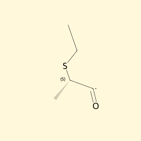 CCS[C@@H](C)[C]=O